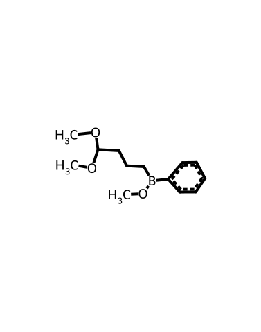 COB(CCCC(OC)OC)c1ccccc1